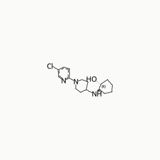 O[C@@H]1CCCC[C@H]1NC1CCN(c2ccc(Cl)cn2)CC1